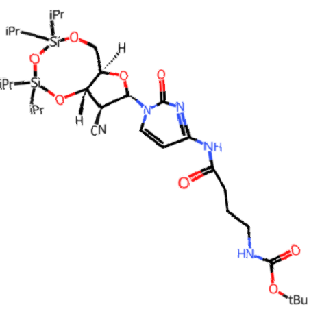 CC(C)[Si]1(C(C)C)OC[C@H]2O[C@@H](n3ccc(NC(=O)CCCNC(=O)OC(C)(C)C)nc3=O)[C@@H](C#N)[C@@H]2O[Si](C(C)C)(C(C)C)O1